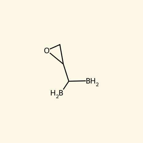 BC(B)C1CO1